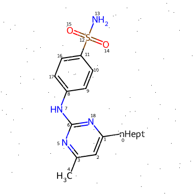 CCCCCCCc1cc(C)nc(Nc2ccc(S(N)(=O)=O)cc2)n1